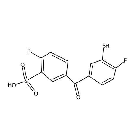 O=C(c1ccc(F)c(S)c1)c1ccc(F)c(S(=O)(=O)O)c1